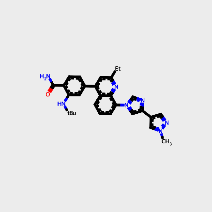 CCc1cc(-c2ccc(C(N)=O)c(NC(C)(C)C)c2)c2cccc(-n3cnc(-c4cnn(C)c4)c3)c2n1